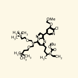 C=CN(C(=O)OC(C)(C)C)C(C)CCc1cc(N(COCC[Si](C)(C)C)COCC[Si](C)(C)C)n2ncc(-c3cnc(Cl)c(OCOC)c3)c2n1